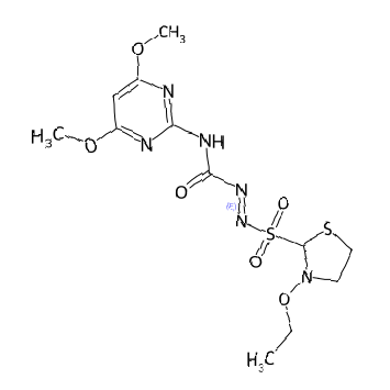 CCON1CCSC1S(=O)(=O)/N=N/C(=O)Nc1nc(OC)cc(OC)n1